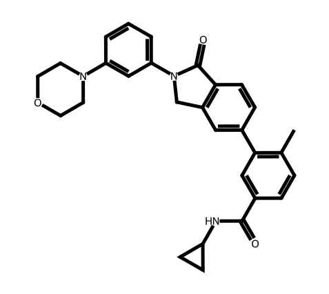 Cc1ccc(C(=O)NC2CC2)cc1-c1ccc2c(c1)CN(c1cccc(N3CCOCC3)c1)C2=O